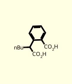 CCCCC(C(=O)O)c1ccccc1C(=O)O